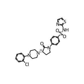 O=C1[C@@H](N2CCN(c3ccccc3Cl)CC2)CCN1c1ccc(S(=O)(=O)Nc2nccs2)cc1